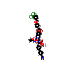 CC(C)(C)COC(=O)N1Cc2cc3c(cc2CC1C(=O)N[C@@H](Cc1ccc(-c2ccc(C#N)cc2)cc1)C(=O)O)OC[C@H](c1ccc(OCc2ccc(Cl)c(Cl)c2)cc1)O3